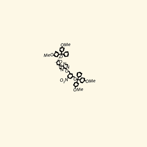 COc1ccc(C(OCc2cc(COc3ncnc4c3ncn4[C@H]3C[CH][C@H](COC(c4ccccc4)(c4ccc(OC)cc4)c4ccc(OC)cc4)O3)cc([N+](=O)[O-])c2)(c2ccccc2)c2ccc(OC)cc2)cc1